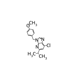 COc1ccc(Cn2cnc3c(Cl)cc(C(C)C)nc32)cc1